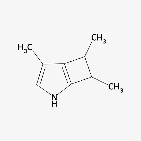 Cc1c[nH]c2c1C(C)C2C